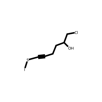 OC(CCl)CCC#CSI